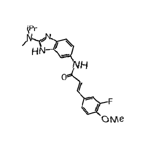 COc1ccc(C=CC(=O)Nc2ccc3nc(N(C)C(C)C)[nH]c3c2)cc1F